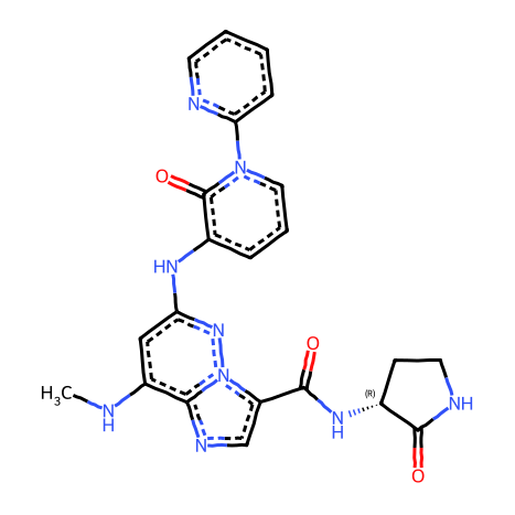 CNc1cc(Nc2cccn(-c3ccccn3)c2=O)nn2c(C(=O)N[C@@H]3CCNC3=O)cnc12